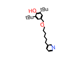 CC(C)(C)c1cc(COCCCCCCc2cccnc2)cc(C(C)(C)C)c1O